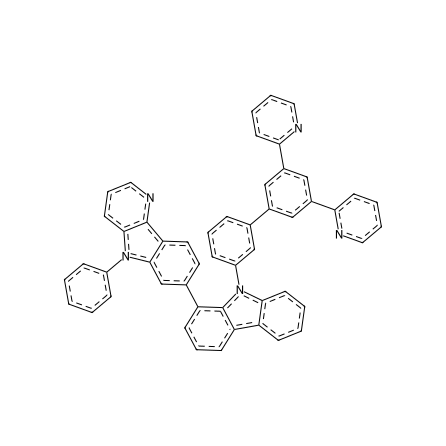 c1ccc(-n2c3cc(-c4cccc5c6ccccc6n(-c6cccc(-c7cc(-c8ccccn8)cc(-c8ccccn8)c7)c6)c45)ccc3c3ncccc32)cc1